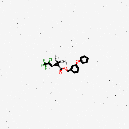 CC1(C)[C@H](/C=C(\Cl)C(F)(F)F)[C@@H]1C(=O)OCc1cccc(Oc2ccccc2)c1